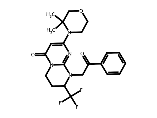 CC1(C)COCCN1c1cc(=O)n2c(n1)N(CC(=O)c1ccccc1)C(C(F)(F)F)CC2